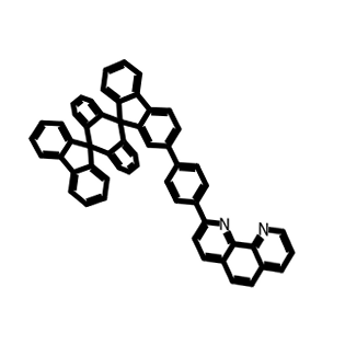 c1ccc2c(c1)-c1ccccc1C21c2ccccc2C2(c3ccccc3-c3ccc(-c4ccc(-c5ccc6ccc7cccnc7c6n5)cc4)cc32)c2ccccc21